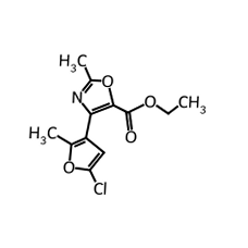 CCOC(=O)c1oc(C)nc1-c1cc(Cl)oc1C